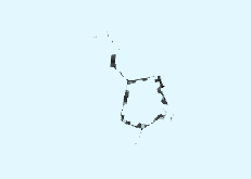 O/N=C/c1ccnc(F)c1